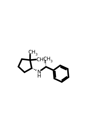 C[C@@H](N[C@@H]1CCCC1(C)C)c1ccccc1